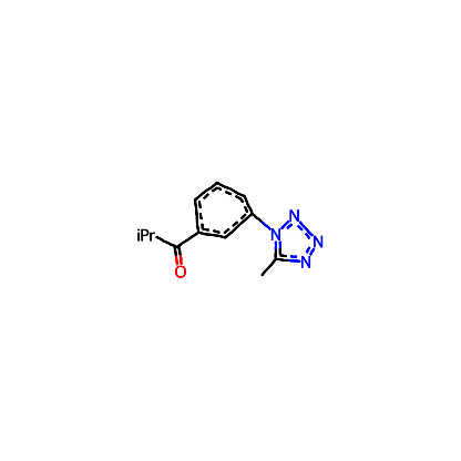 Cc1nnnn1-c1cccc(C(=O)C(C)C)c1